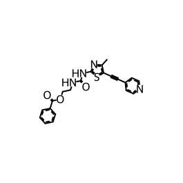 Cc1nc(NC(=O)NCCOC(=O)c2ccccc2)sc1C#Cc1ccncc1